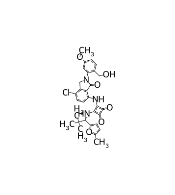 COc1ccc(CO)c(N2Cc3c(Cl)ccc(Nc4c(N[C@@H](c5ccc(C)o5)C(C)(C)C)c(=O)c4=O)c3C2=O)c1